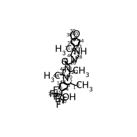 CCCc1cc(C(O)(C(F)(F)F)C(F)(F)F)ccc1N1CC(C)N(C(=O)CN2CN[C@@](C)(c3ccc4c(c3)CCO4)C2)CC1C